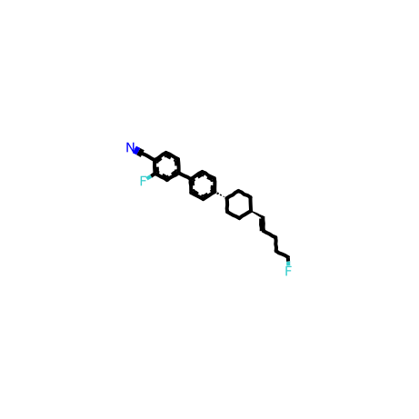 N#Cc1ccc(-c2ccc([C@H]3CC[C@H](C=CCCCF)CC3)cc2)cc1F